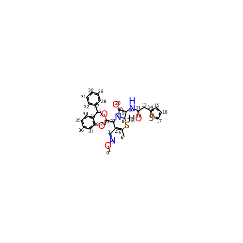 CO/N=C/C1=C(C)S[C@@H]2C(NC(=O)Cc3cccs3)C(=O)N2C1C(=O)OC(c1ccccc1)c1ccccc1